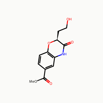 COC(=O)c1ccc2c(c1)NC(=O)[C@H](CCO)O2